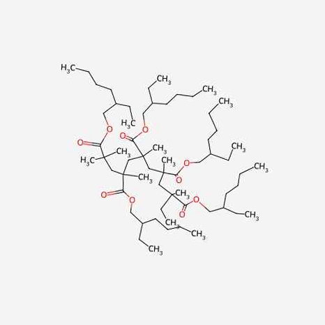 CCCCC(CC)COC(=O)C(C)(C)CC(C)(CC(C)(CC(C)(CC(C)(CC)C(=O)OCC(CC)CCCC)C(=O)OCC(CC)CCCC)C(=O)OCC(CC)CCCC)C(=O)OCC(CC)CCCC